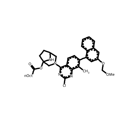 CCCCCCCCC(=O)OC12CCC(CN(c3nc(Cl)nc4c(C)c(-c5cc(OCOC)cc6ccccc56)ccc34)C1)N2